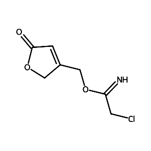 N=C(CCl)OCC1=CC(=O)OC1